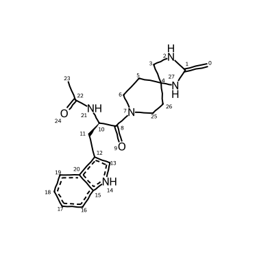 C=C1NCC2(CCN(C(=O)[C@@H](Cc3c[nH]c4ccccc34)NC(C)=O)CC2)N1